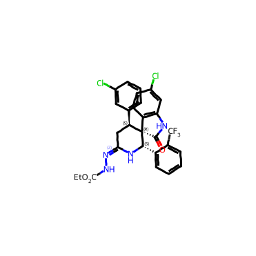 CCOC(=O)N/N=C1/C[C@@H](c2cccc(Cl)c2)[C@]2(C(=O)Nc3cc(Cl)ccc32)[C@H](c2ccccc2C(F)(F)F)N1